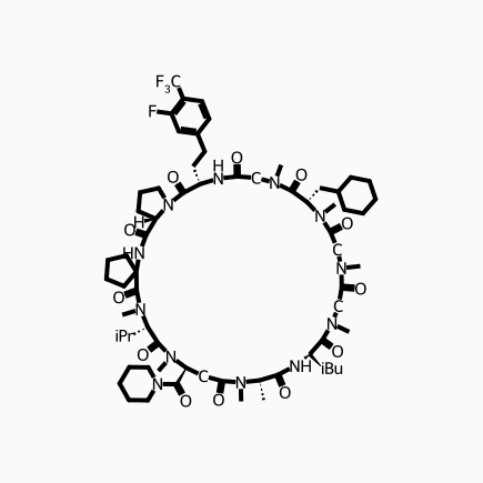 CC[C@H](C)[C@@H]1NC(=O)[C@H](C)N(C)C(=O)C[C@@H](C(=O)N2CCCCC2)N(C)C(=O)[C@H](C(C)C)N(C)C(=O)C2(CCCC2)NC(=O)[C@@H]2CCCN2C(=O)[C@H](CCc2ccc(C(F)(F)F)c(F)c2)NC(=O)CN(C)C(=O)[C@H](CC2CCCCC2)N(C)C(=O)CN(C)C(=O)CN(C)C1=O